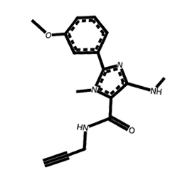 C#CCNC(=O)c1c(NC)nc(-c2cccc(OC)c2)n1C